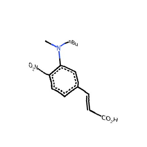 CCCCN(C)c1cc(C=CC(=O)O)ccc1[N+](=O)[O-]